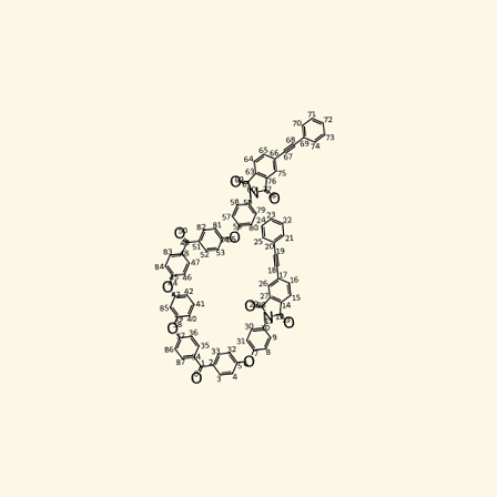 O=C(c1ccc(Oc2ccc(N3C(=O)c4ccc(C#Cc5ccccc5)cc4C3=O)cc2)cc1)c1ccc(Oc2cccc(Oc3ccc(C(=O)c4ccc(Oc5ccc(N6C(=O)c7ccc(C#Cc8ccccc8)cc7C6=O)cc5)cc4)cc3)c2)cc1